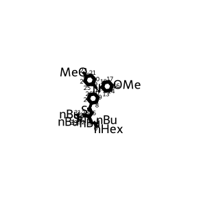 CCCCCCC(CCCC)Cc1cc(-c2ccc(N(c3ccc(OC)cc3)c3ccc(OC)cc3)cc2)s[c]1[Sn]([CH2]CCC)([CH2]CCC)[CH2]CCC